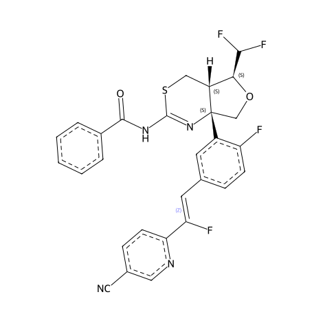 N#Cc1ccc(/C(F)=C/c2ccc(F)c([C@]34CO[C@H](C(F)F)[C@H]3CSC(NC(=O)c3ccccc3)=N4)c2)nc1